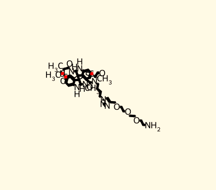 CN1C(=O)C23C[C@]4([C@]56C[C@]7(SS[C@@](C)(C=O)N(CCCCn8cc(COCCOCCOCCN)nn8)C7=O)N(C)[C@H]5Nc5ccccc56)c5ccccc5N[C@@H]4N2C(=O)[C@]1(C)SS3